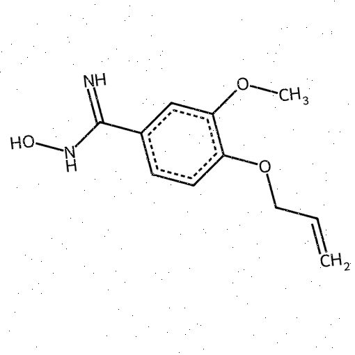 C=CCOc1ccc(C(=N)NO)cc1OC